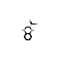 CC(C)C(=O)[C@H]1CNc2ccccc2N1